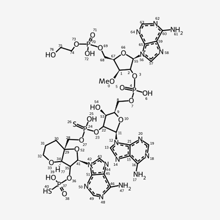 CO[C@@H]1C(OP(=O)(O)OC[C@H]2O[C@@H](n3cnc4c(N)ncnc43)C(OP(O)(=S)OC[C@]34CCCO[C@@H]3C(OP(=O)(O)S)[C@H](n3cnc5c(N)ncnc53)O4)[C@H]2O)[C@H](n2cnc3c(N)ncnc32)O[C@@H]1COP(=O)(O)OCCO